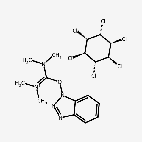 CN(C)C(On1nnc2ccccc21)=[N+](C)C.Cl[C@H]1[C@H](Cl)[C@@H](Cl)[C@@H](Cl)[C@H](Cl)[C@H]1Cl